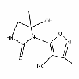 Cc1noc(N2C(=O)NCC2(C)O)c1C#N